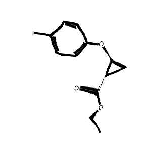 CCOC(=O)[C@H]1C[C@@H]1Oc1ccc(I)cc1